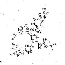 CC(C)(C)OC(=O)Nc1cc(S(=O)(=O)c2ccc(OC(F)(F)F)cc2)c2nc1-c1nnc(o1)C(O)(C(F)(F)F)CCCCC[C@@H]1CCCN21